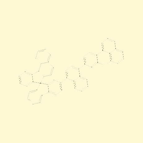 c1ccc2c(c1)-c1ccc(-c3ccc(-c4ccc5c(c4)Sc4cccc6cccc-5c46)c4ccccc34)cc1C21c2ccccc2-c2c1ccc1ccccc21